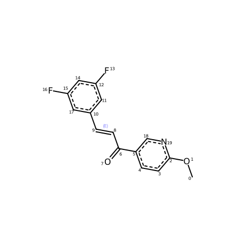 COc1ccc(C(=O)/C=C/c2cc(F)cc(F)c2)cn1